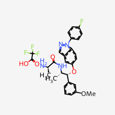 COc1cccc([C@@H](Oc2ccc3c(cnn3-c3ccc(F)cc3)c2)[C@H](C)NC(=O)[C@@H](C)N)c1.O=C(O)C(F)(F)F